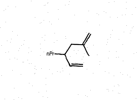 C=C[C](CCC)CC(=C)C